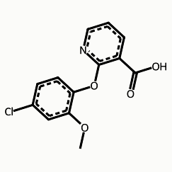 COc1cc(Cl)ccc1Oc1ncccc1C(=O)O